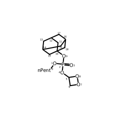 CCCCCOP(=O)(OC1COO1)OC12CC3CC(CC(C3)C1)C2